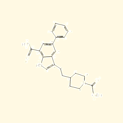 CC(C)COC(=O)N1CCC(CCc2c[nH]c3c(C(N)=O)cc(-c4ccccc4)cc23)CC1